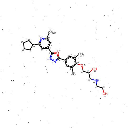 CCc1cc(-c2nnc(-c3cc(OC)nc(C4CCCC4)c3)o2)cc(C)c1OCC(O)CNCCO